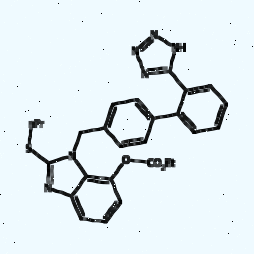 CCCSc1nc2cccc(OC(=O)OCC)c2n1Cc1ccc(-c2ccccc2-c2nnn[nH]2)cc1